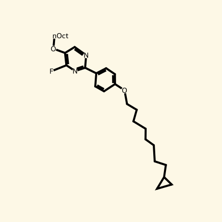 CCCCCCCCOc1cnc(-c2ccc(OCCCCCCCCC3CC3)cc2)nc1F